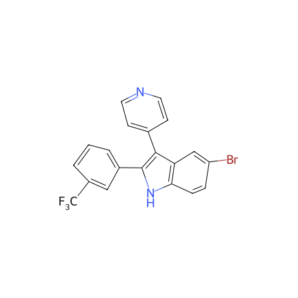 FC(F)(F)c1cccc(-c2[nH]c3ccc(Br)cc3c2-c2ccncc2)c1